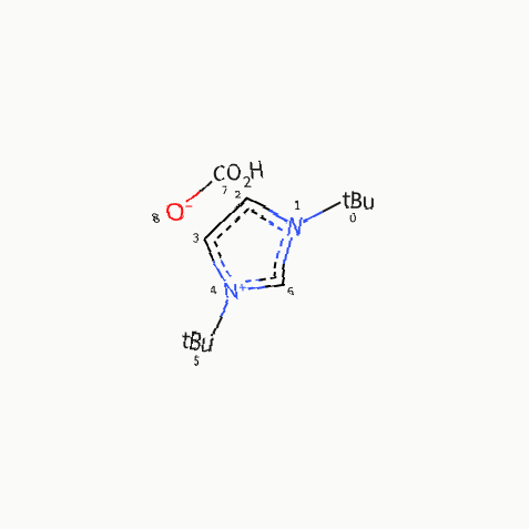 CC(C)(C)n1cc[n+](C(C)(C)C)c1.O=C([O-])O